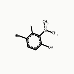 C[SiH](C)c1c(O)ccc(C(C)(C)C)c1I